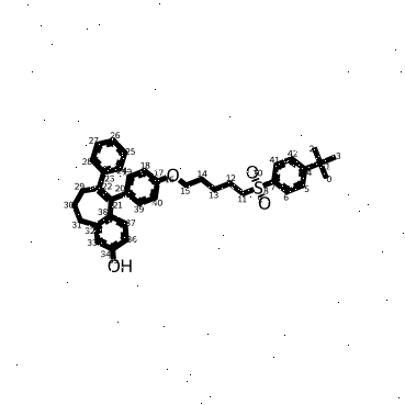 CC(C)(C)c1ccc(S(=O)(=O)CCCCCOc2ccc(C3=C(c4ccccc4)CCCc4cc(O)ccc43)cc2)cc1